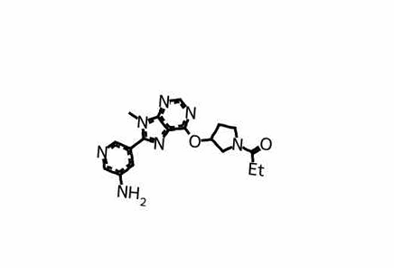 CCC(=O)N1CCC(Oc2ncnc3c2nc(-c2cncc(N)c2)n3C)C1